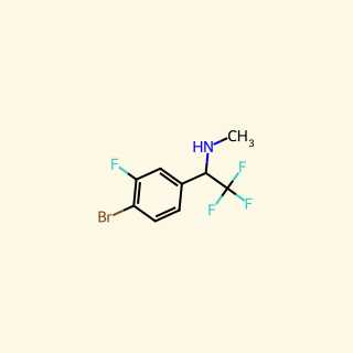 CNC(c1ccc(Br)c(F)c1)C(F)(F)F